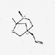 C=CC[C@]12CC[C@H](C)C(C)(C1)OC2